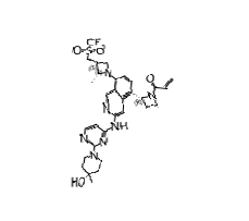 C=CC(=O)N1CC[C@@H]1c1ccc(N2C[C@H](CS(=O)(=O)C(F)(F)F)[C@H]2C)c2cnc(Nc3ccnc(N4CCC(C)(O)CC4)n3)cc12